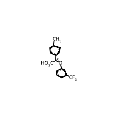 Cc1ccc([C@@H](Oc2cccc(C(F)(F)F)c2)C(=O)O)cc1